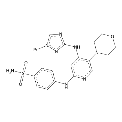 CC(C)n1cnc(Nc2cc(Nc3ccc(S(N)(=O)=O)cc3)ncc2N2CCOCC2)n1